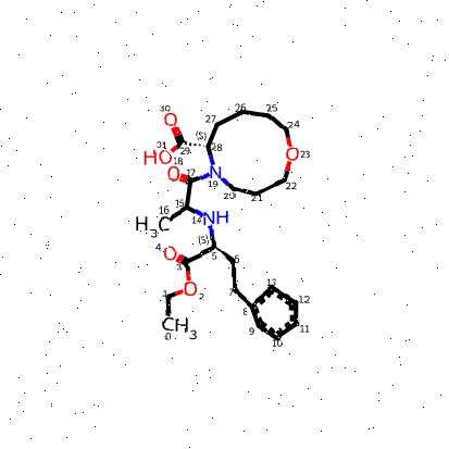 CCOC(=O)[C@H](CCc1ccccc1)NC(C)C(=O)N1CCCOCCCC[C@H]1C(=O)O